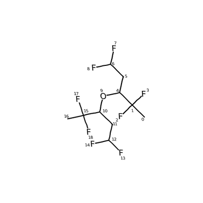 CC(F)(F)C(CC(F)F)OC(CC(F)F)C(C)(F)F